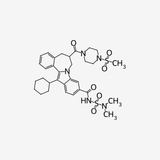 CN(C)S(=O)(=O)NC(=O)c1ccc2c(C3CCCCC3)c3n(c2c1)CC(C(=O)N1CCN(S(C)(=O)=O)CC1)Cc1ccccc1-3